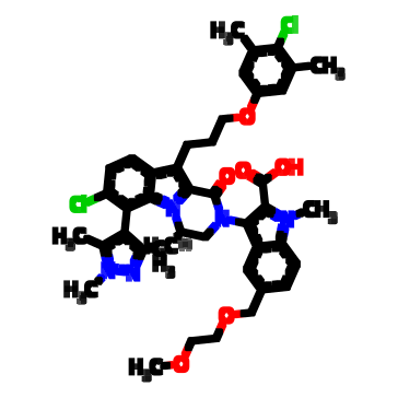 COCCOCc1ccc2c(c1)c(N1C[C@@H](C)n3c(c(CCCOc4cc(C)c(Cl)c(C)c4)c4ccc(Cl)c(-c5c(C)nn(C)c5C)c43)C1=O)c(C(=O)O)n2C